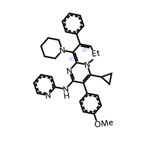 CC/C=C(\C(=C1\N=C(Nc2ccccn2)C(c2ccc(OC)cc2)=C(C2CC2)N1C)N1CCCCC1)c1ccccc1